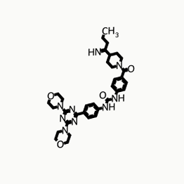 CCCC(=N)C1CCN(C(=O)c2ccc(NC(=O)Nc3ccc(-c4nc(N5CCOCC5)nc(N5CCOCC5)n4)cc3)cc2)CC1